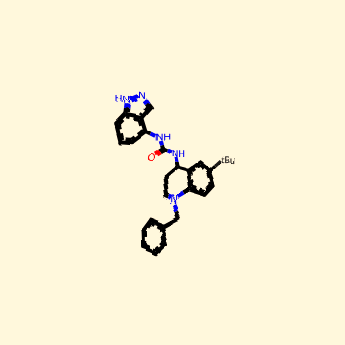 CC(C)(C)c1ccc2c(c1)C(NC(=O)Nc1cccc3[nH]ncc13)CCN2Cc1ccccc1